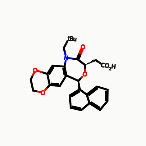 CC(C)(C)CN1C(=O)[C@H](CC(=O)O)O[C@@H](c2cccc3ccccc23)c2cc3c(cc21)OCCO3